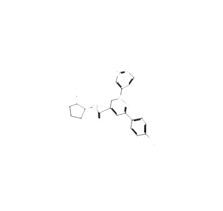 O=C(N[C@H]1CCC[C@@H]1O)C1=CC(c2ccc(Cl)cc2)=NN(c2ccnnc2)C1